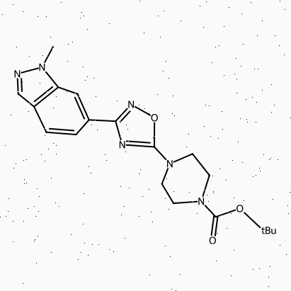 Cn1ncc2ccc(-c3noc(N4CCN(C(=O)OC(C)(C)C)CC4)n3)cc21